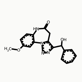 COc1ccc2c(c1)-n1nnc(C(O)c3ccccc3)c1CC(=O)N2